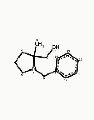 CC1(CO)CCCN1Cc1ccccc1